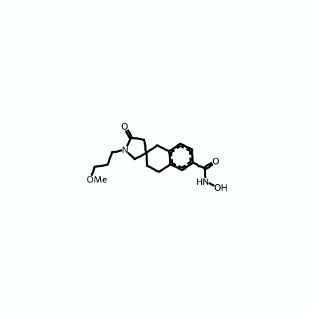 COCCCN1CC2(CCc3cc(C(=O)NO)ccc3C2)CC1=O